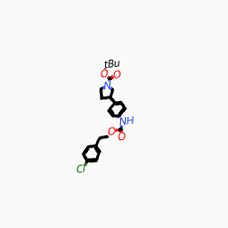 CC(C)(C)OC(=O)N1CCC(c2ccc(NC(=O)OCCc3ccc(Cl)cc3)cc2)C1